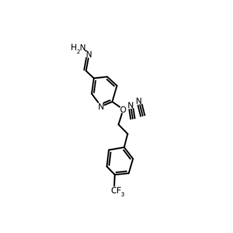 C#N.C#N.NN=Cc1ccc(OCCc2ccc(C(F)(F)F)cc2)nc1